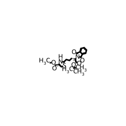 CCOC(=O)[C@@H]1CSC(CCC[C@@H](C(=O)OC(C)(C)C)N2C(=O)c3ccccc3C2=O)N1